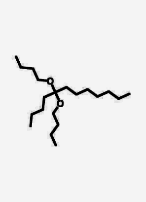 CCCCCCCC(CCCC)(OCCCC)OCCCC